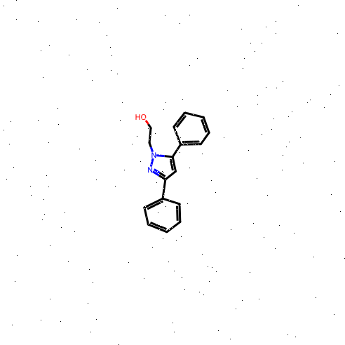 OCCn1nc(-c2ccccc2)cc1-c1ccccc1